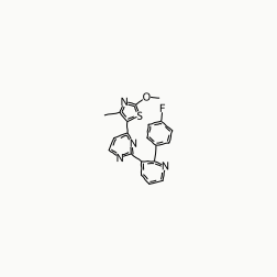 COc1nc(C)c(-c2ccnc(-c3cccnc3-c3ccc(F)cc3)n2)s1